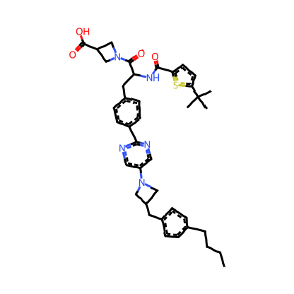 CCCCc1ccc(CC2CN(c3cnc(-c4ccc(CC(NC(=O)c5ccc(C(C)(C)C)s5)C(=O)N5CC(C(=O)O)C5)cc4)nc3)C2)cc1